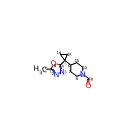 Cc1nnc(C2(C3CCN(C=O)CC3)CC2)o1